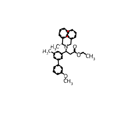 CCOC(=O)CC(c1cc(C)cc(-c2cccc(OC)c2)c1)N(Cc1ccccc1)[C@H](C)c1ccccc1